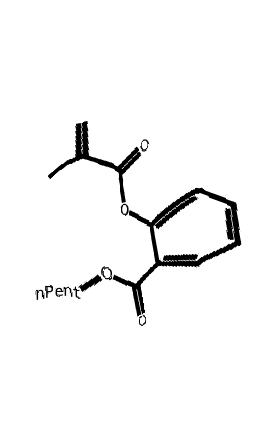 C=C(C)C(=O)Oc1ccccc1C(=O)OCCCCC